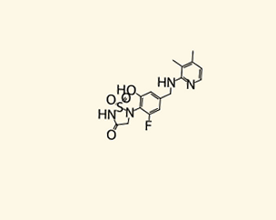 Cc1ccnc(NCc2cc(O)c(N3CC(=O)NS3(=O)=O)c(F)c2)c1C